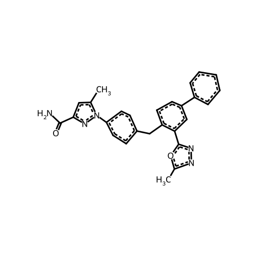 Cc1nnc(-c2cc(-c3ccccc3)ccc2Cc2ccc(-n3nc(C(N)=O)cc3C)cc2)o1